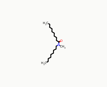 CCCCCCCCCC(=O)N(C)CCCCCCCCC